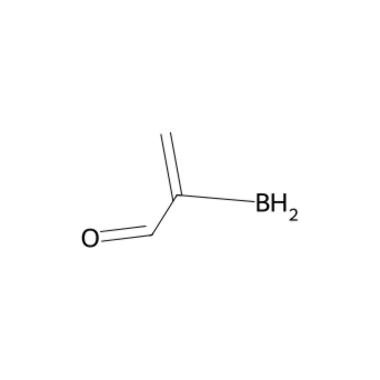 BC(=C)C=O